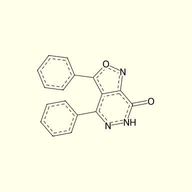 O=c1[nH]nc(-c2ccccc2)c2c(-c3ccccc3)onc12